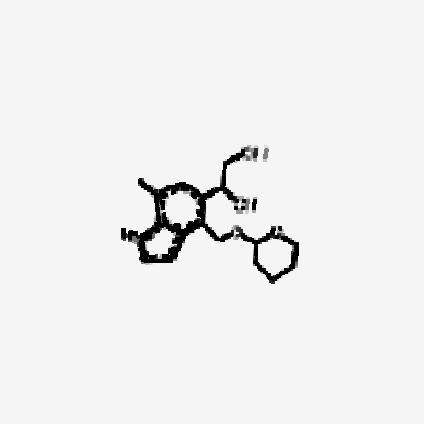 Cc1cc(C(O)CO)c(COC2CCCCO2)c2cc[nH]c12